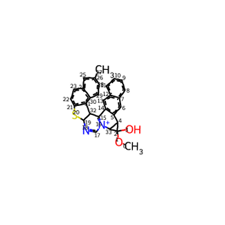 COC1(O)C2c3cc4ccccc4cc3C3=[N+](C=NC4Sc5ccc6cc(C)ccc6c5C34)C21